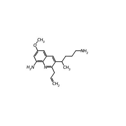 C=CCc1nc2c(N)cc(OC)cc2cc1C(C)CCCN